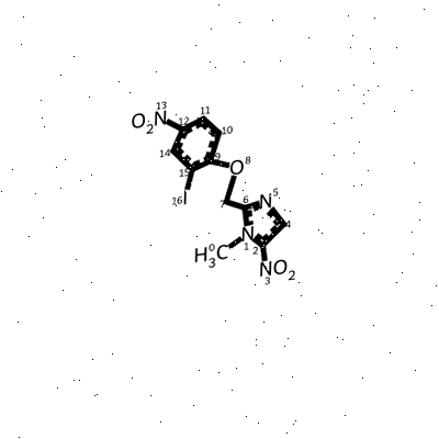 Cn1c([N+](=O)[O-])cnc1COc1ccc([N+](=O)[O-])cc1I